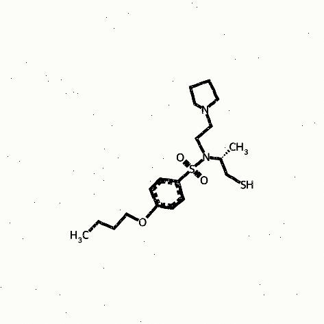 CCCCOc1ccc(S(=O)(=O)N(CCN2CCCC2)[C@H](C)CS)cc1